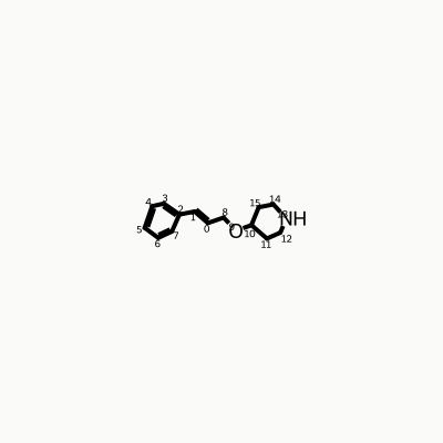 C(=Cc1ccccc1)COC1CCNCC1